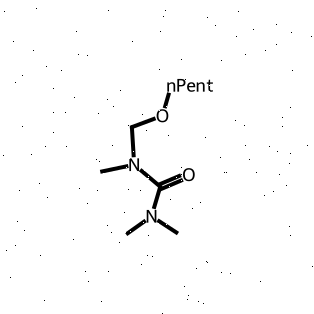 CCCCCOCN(C)C(=O)N(C)C